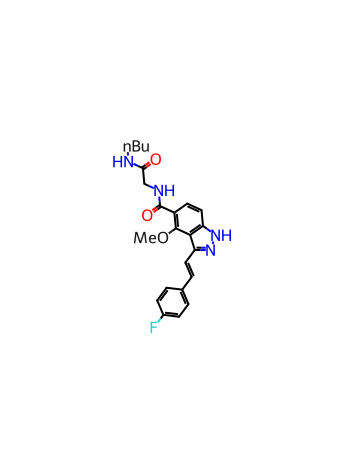 CCCCNC(=O)CNC(=O)c1ccc2[nH]nc(C=Cc3ccc(F)cc3)c2c1OC